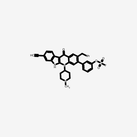 C#Cc1ccc2c(c1)[nH]c1c2c(=O)c2cc(CC(C)C)c(-c3cccc(OS(=O)(=O)F)c3)cc2n1C1CCN(C)CC1